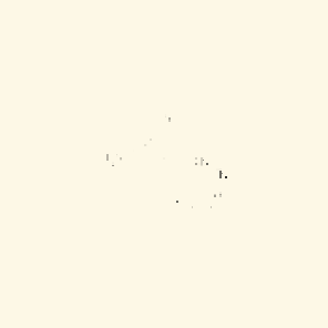 Nc1ncn2ncsc12